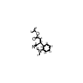 CC(C)OC(=O)C=C(C#N)c1ccccc1N(C)C